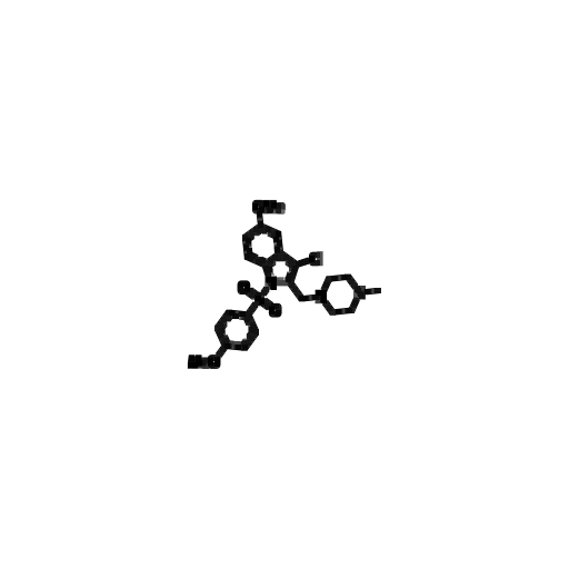 COc1ccc(S(=O)(=O)n2c(CN3CCN(C)CC3)c(Cl)c3cc(OC)ccc32)cc1